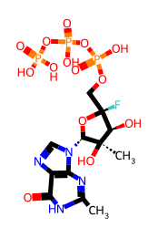 Cc1nc2c(ncn2[C@@H]2O[C@](F)(COP(=O)(O)OP(=O)(O)OP(=O)(O)O)[C@@H](O)[C@@]2(C)O)c(=O)[nH]1